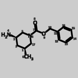 C[C@H]1C[C@@H](N)CN(C(=O)OCc2ccccc2)C1